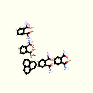 C1=Cc2cccc3cccc(c23)C1.CNC(=O)c1ccccc1C(N)=O.NC(=O)c1ccccc1C(N)=O.NC(=O)c1ccccc1C(N)=O.NC(=O)c1ccccc1C(N)=O